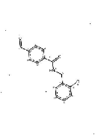 O=Cc1ccc(C(=O)NCc2ccccc2Cl)cc1